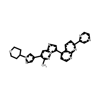 Cc1nn2c(-c3ccnc4nc(-c5cnccn5)ccc34)cnc2cc1-c1cnn(C2CCOCC2)c1